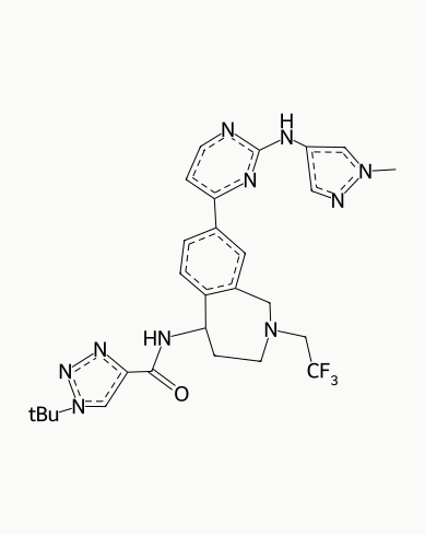 Cn1cc(Nc2nccc(-c3ccc4c(c3)CN(CC(F)(F)F)CCC4NC(=O)c3cn(C(C)(C)C)nn3)n2)cn1